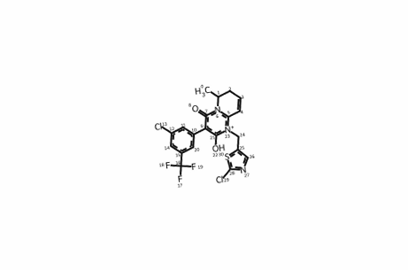 CC1CC=Cc2n1c(=O)c(-c1cc(Cl)cc(C(F)(F)F)c1)c(O)[n+]2Cc1cnc(Cl)s1